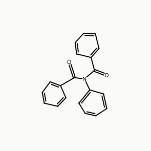 O=C(c1ccccc1)N(C(=O)c1ccccc1)c1cc[c]cc1